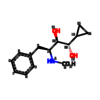 O=C(O)N[C@@H](Cc1ccccc1)[C@@H](O)[C@@H](O)C1CC1